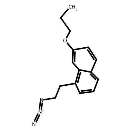 CCCOc1ccc2cccc(CCN=[N+]=[N-])c2c1